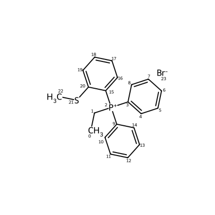 CC[P+](c1ccccc1)(c1ccccc1)c1ccccc1SC.[Br-]